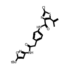 C=C(C)c1sc(Cl)nc1C(=O)Nc1ccc(CC(=O)Nc2cc(C(C)(C)C)on2)cc1